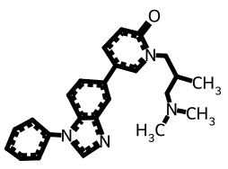 CC(CN(C)C)Cn1cc(-c2ccc3c(c2)ncn3-c2ccccc2)ccc1=O